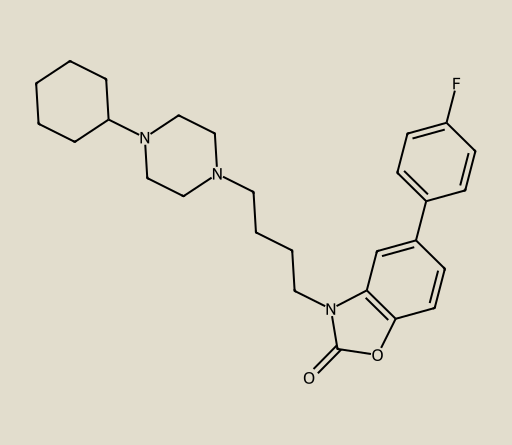 O=c1oc2ccc(-c3ccc(F)cc3)cc2n1CCCCN1CCN(C2CCCCC2)CC1